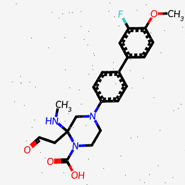 CNC1(CC=O)CN(c2ccc(-c3ccc(OC)c(F)c3)cc2)CCN1C(=O)O